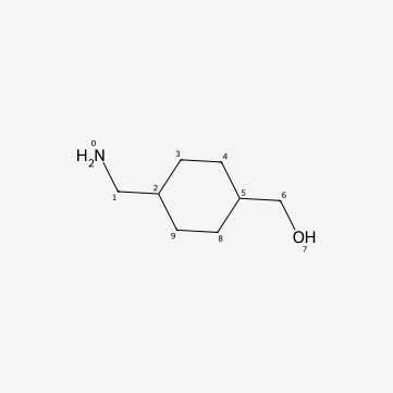 NCC1CCC(CO)CC1